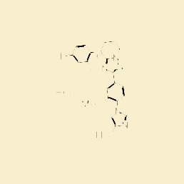 COc1cc(-c2nc3n(n2)CCC[C@@H]3c2ccc(F)cc2C)ccc1-n1cnc(C)c1.Cl